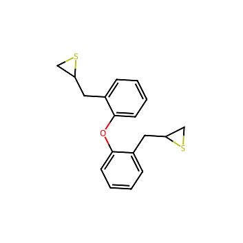 c1ccc(Oc2ccccc2CC2CS2)c(CC2CS2)c1